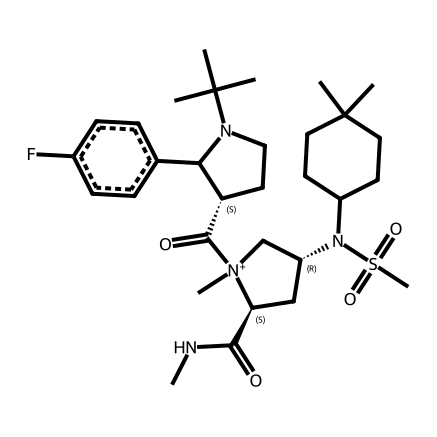 CNC(=O)[C@@H]1C[C@@H](N(C2CCC(C)(C)CC2)S(C)(=O)=O)C[N+]1(C)C(=O)[C@H]1CCN(C(C)(C)C)C1c1ccc(F)cc1